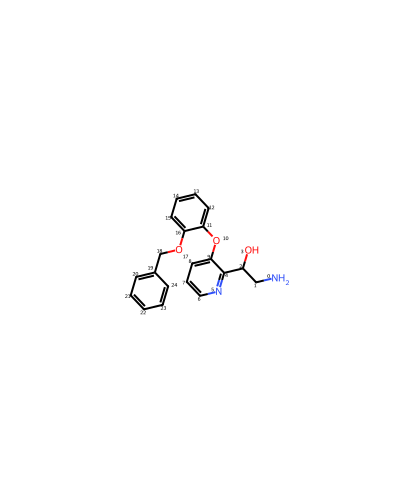 NCC(O)c1ncccc1Oc1ccccc1OCc1ccccc1